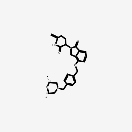 C=C1CCC(N2Cc3c(OCc4ccc(CN5C[C@@H](C)O[C@@H](C)C5)cc4)cccc3C2=O)C(=O)N1